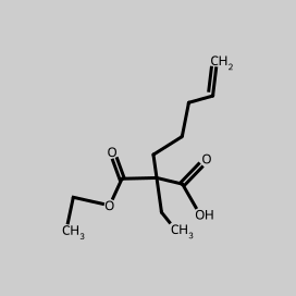 C=CCCCC(CC)(C(=O)O)C(=O)OCC